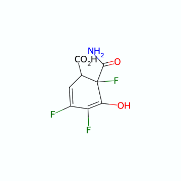 NC(=O)C1(F)C(O)=C(F)C(F)=CC1C(=O)O